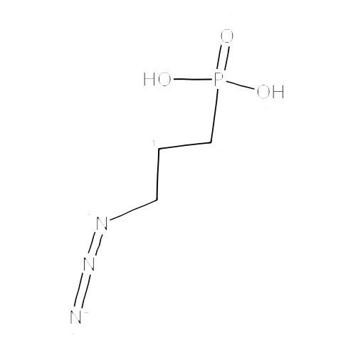 [N-]=[N+]=NCCCP(=O)(O)O